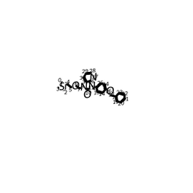 C[Si](C)(C)CCOCn1c(=O)n(-c2ccc(OCc3ccccc3)cc2)c2ncccc21